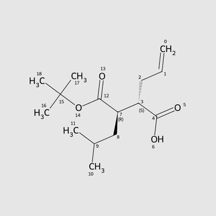 C=CC[C@H](C(=O)O)[C@@H](CC(C)C)C(=O)OC(C)(C)C